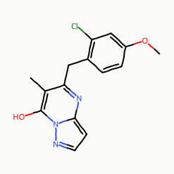 COc1ccc(Cc2nc3ccnn3c(O)c2C)c(Cl)c1